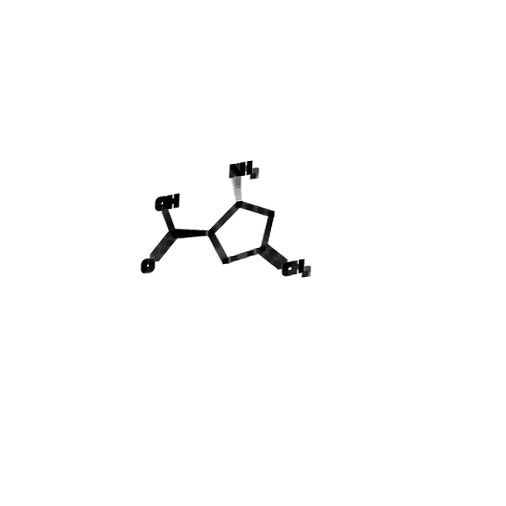 C=C1C[C@@H](N)[C@H](C(=O)O)C1